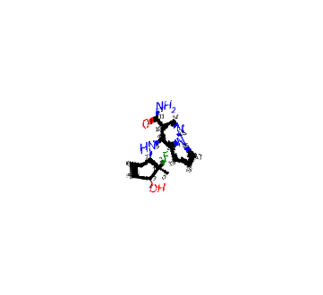 C[C@@]1(F)[C@H](O)CC[C@H]1Nc1c(C(N)=O)cnn2cccc12